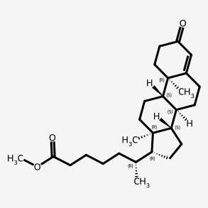 COC(=O)CCCC[C@@H](C)[C@H]1CC[C@H]2[C@@H]3CCC4=CC(=O)CC[C@]4(C)[C@H]3CC[C@]12C